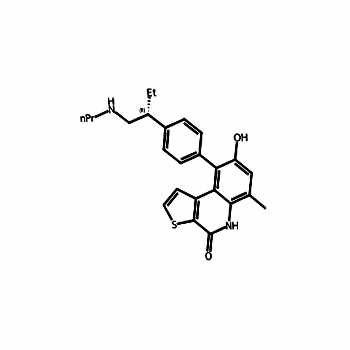 CCCNC[C@H](CC)c1ccc(-c2c(O)cc(C)c3[nH]c(=O)c4sccc4c23)cc1